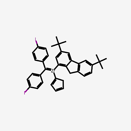 CC(C)(C)c1ccc2c(c1)-c1cc(C(C)(C)C)c[c]([Zr]([C]3=CC=CC3)=[C](c3ccc(I)cc3)c3ccc(I)cc3)c1C2